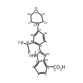 O=C(O)c1cccc2[nH]c(-c3ccc(N4CCOCC4)cc3C(F)F)nc12